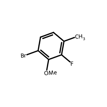 COc1c(Br)ccc(C)c1F